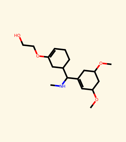 CNC(C1=CC(OC)CC(OC)C1)C1CCC=C(OCCO)C1